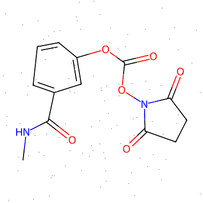 CNC(=O)c1cccc(OC(=O)ON2C(=O)CCC2=O)c1